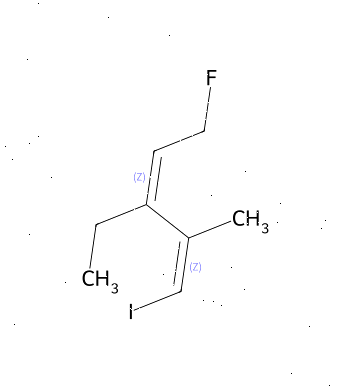 CCC(=C/CF)/C(C)=C\I